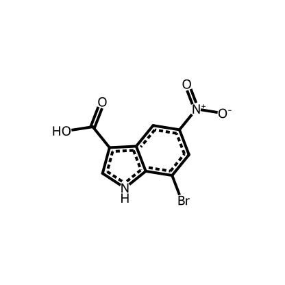 O=C(O)c1c[nH]c2c(Br)cc([N+](=O)[O-])cc12